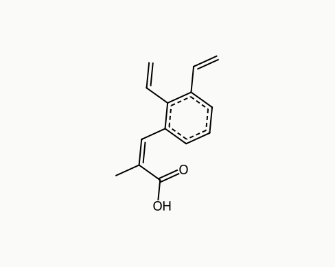 C=Cc1cccc(C=C(C)C(=O)O)c1C=C